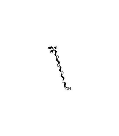 C=CS(=O)(=O)CCOCCOCCOCCOCCO